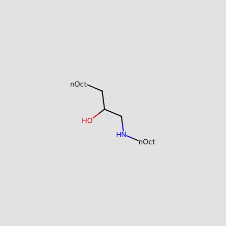 CCCCCCCCCC(O)CNCCCCCCCC